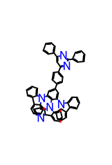 c1ccc(-c2cc(-c3ccc(-c4cc(-n5c6ccccc6c6ccccc65)c(-n5c6ccccc6c6ncccc65)c(-n5c6ccccc6c6ccccc65)c4)cc3)nc(-c3ccccc3)n2)cc1